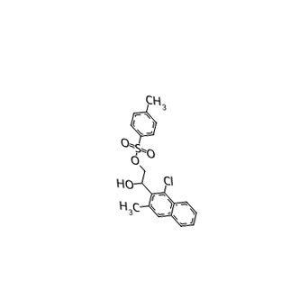 Cc1ccc(S(=O)(=O)OCC(O)c2c(C)cc3ccccc3c2Cl)cc1